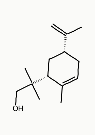 C=C(C)[C@@H]1CC=C(C)[C@H](C(C)(C)CO)C1